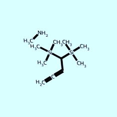 C=C=CC([Si](C)(C)C)[Si](C)(C)C.CN